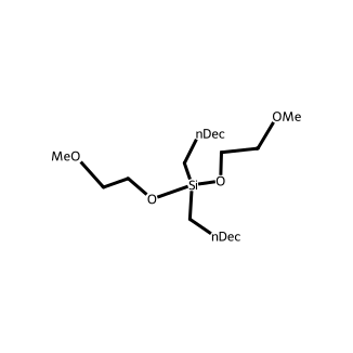 CCCCCCCCCCC[Si](CCCCCCCCCCC)(OCCOC)OCCOC